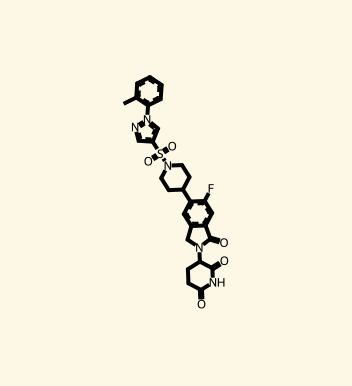 Cc1ccccc1-n1cc(S(=O)(=O)N2CCC(c3cc4c(cc3F)C(=O)N(C3CCC(=O)NC3=O)C4)CC2)cn1